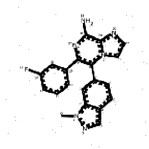 Cn1ncc2ccc(-c3c(-c4cccc(F)c4)nc(N)c4nccn34)cc21